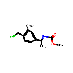 COc1cc(C(C)NC(=O)OC(C)(C)C)ccc1CCl